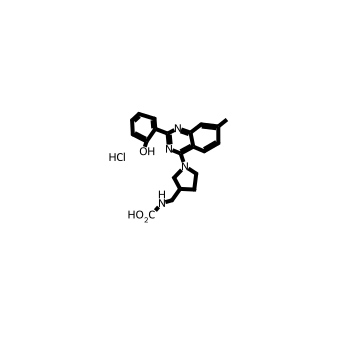 Cc1ccc2c(N3CCC(CNC(=O)O)C3)nc(-c3ccccc3O)nc2c1.Cl